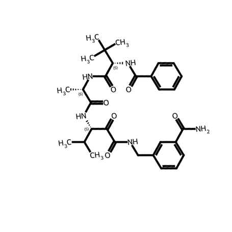 CC(C)[C@H](NC(=O)[C@H](C)NC(=O)[C@@H](NC(=O)c1ccccc1)C(C)(C)C)C(=O)C(=O)NCc1cccc(C(N)=O)c1